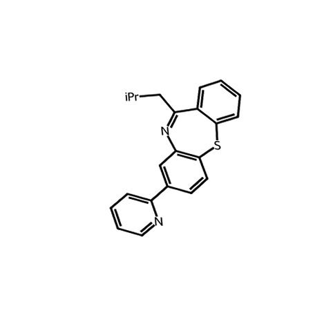 CC(C)CC1=Nc2cc(-c3ccccn3)ccc2Sc2ccccc21